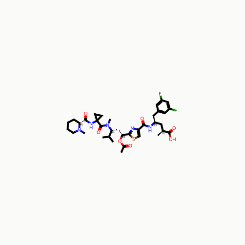 CC(=O)O[C@H](C[C@H](C(C)C)N(C)C(=O)C1(NC(=O)[C@H]2CCCCN2C)CC1)c1nc(C(=O)N[C@@H](Cc2cc(F)cc(F)c2)C[C@H](C)C(=O)O)cs1